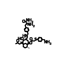 CC(=O)CC[C@]12CC[C@@H](C)[C@](C)(C1)[C@H](OC(=O)CSc1ccc(CN)cc1)C[C@](C)(CNCc1ccc(CC(N)C(N)=O)cc1)[C@@H](O)[C@@H]2C